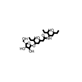 CCC(O)CC(NC(=O)CC(O)CC(O[C@@H]1O[C@@H](CO)[C@@H](O)C1O)C(C)CC)C(C)CC